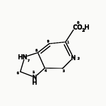 O=C(O)C1=NCC2NCNC2=C1